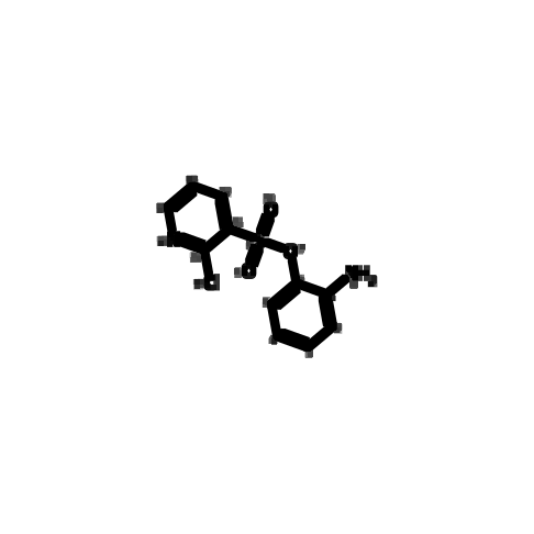 Nc1ccccc1OS(=O)(=O)c1cccnc1Cl